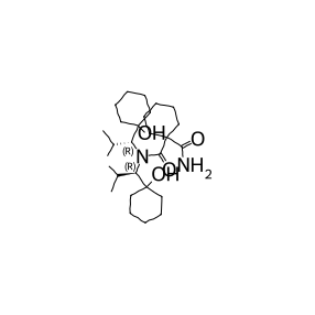 CC(C)[C@@H](N(C(=O)C1(C(N)=O)CCCCC1)[C@H](C(C)C)C1(O)CCCCC1)C1(O)CCCCC1